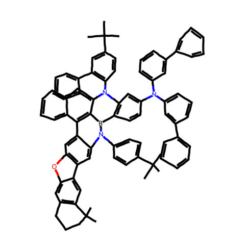 CC(C)(C)c1ccc(N2B3c4ccc(N(c5cccc(-c6ccccc6)c5)c5cccc(-c6ccccc6)c5)cc4N(c4ccc(C(C)(C)C)cc4-c4ccccc4)c4cc5ccccc5c(c43)-c3cc4oc5cc6c(cc5c4cc32)C(C)(C)CCC6)cc1